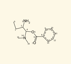 CCC(N)C(OC(=O)c1ccccc1)N(C)C